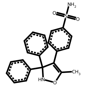 CC1=C(c2ccc(S(N)(=O)=O)cc2)C(c2ccccc2)(c2ccccc2)NO1